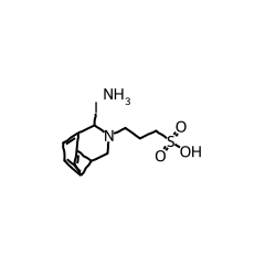 N.O=S(=O)(O)CCCN1CC2C3=CC=C(C2=C3)C1I